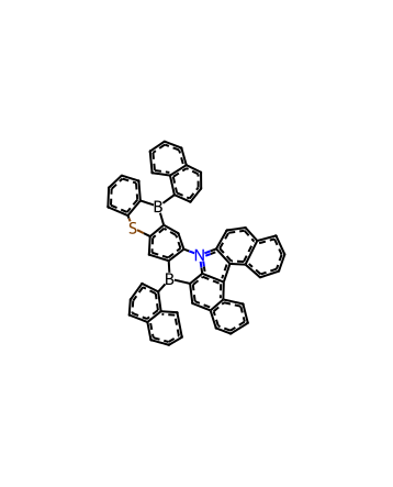 c1ccc2c(c1)Sc1cc3c(cc1B2c1cccc2ccccc12)-n1c2ccc4ccccc4c2c2c4ccccc4cc(c21)B3c1cccc2ccccc12